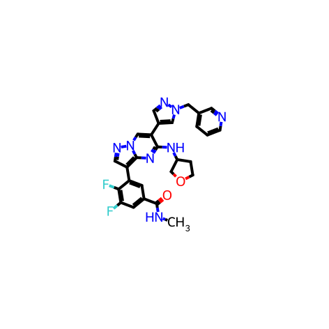 CNC(=O)c1cc(F)c(F)c(-c2cnn3cc(-c4cnn(Cc5cccnc5)c4)c(NC4CCOC4)nc23)c1